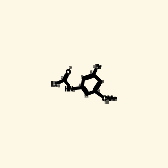 CCC(=O)Nc1cc(Br)cc(OC)c1